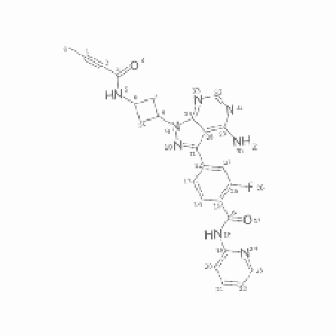 CC#CC(=O)NC1CC(n2nc(-c3ccc(C(=O)Nc4ccccn4)c(F)c3)c3c(N)ncnc32)C1